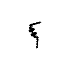 CCCCCCCCCCCCc1ccc(-c2ccc(-c3c4ccccc4c(C#Cc4c5ccccc5c(-c5ccc(-c6ccc(CCCCCCCCCCCC)s6)s5)c5ccccc45)c4ccccc34)s2)s1